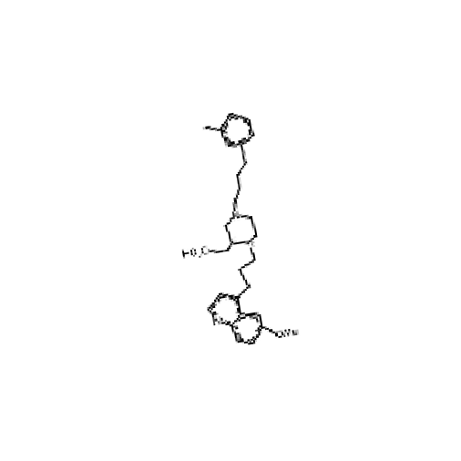 COc1ccc2nccc(CCC[C@@H]3CCN(CCCCc4cccc(C)c4)C[C@@H]3CC(=O)O)c2c1